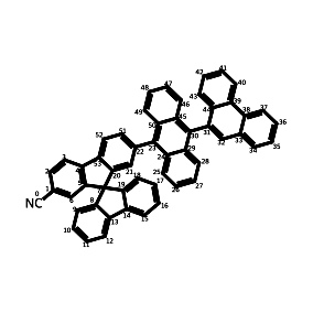 N#Cc1ccc2c(c1)C1(c3ccccc3-c3ccccc31)c1cc(-c3c4ccccc4c(-c4cc5ccccc5c5ccccc45)c4ccccc34)ccc1-2